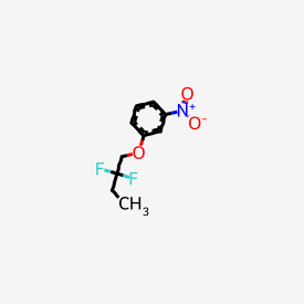 CCC(F)(F)COc1cccc([N+](=O)[O-])c1